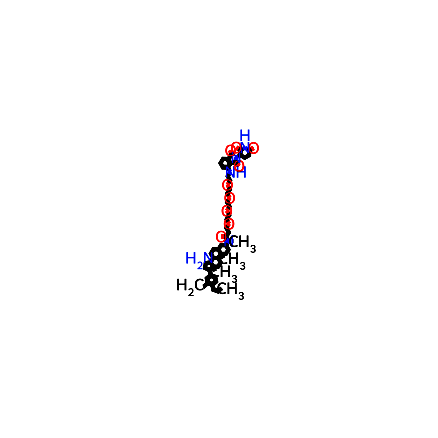 C=Cc1cc(C2CCC3C2(C)CCC2C4(C)CCC(N(C)C(=O)CCOCCOCCOCCOCCNC5=CCCC6=C5C(=O)N(C5CCC(=O)NC5=O)C6=O)CC4CCC23N)ccc1/C=C\C